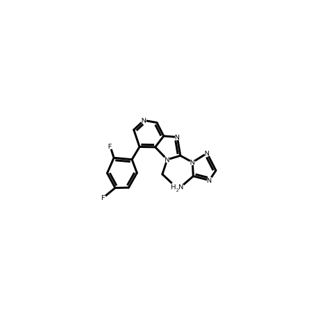 CCn1c(-n2ncnc2N)nc2cncc(-c3ccc(F)cc3F)c21